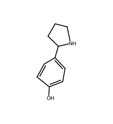 Oc1ccc(C2CCCN2)cc1